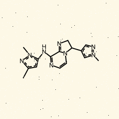 Cc1cc(NC2=NC=CN3C2=NCC3c2cnn(C)c2)n(C)n1